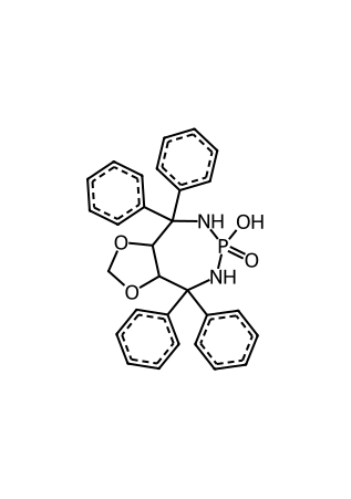 O=P1(O)NC(c2ccccc2)(c2ccccc2)C2OCOC2C(c2ccccc2)(c2ccccc2)N1